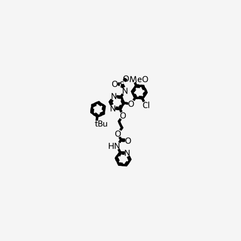 CC(C)(C)c1ccccc1.COc1ccc(Cl)c(Oc2c(N=S(=O)=O)ncnc2OCCOC(=O)Nc2ccccn2)c1